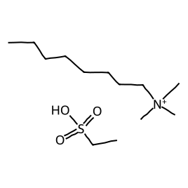 CCCCCCCC[N+](C)(C)C.CCS(=O)(=O)O